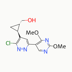 COc1ncc(-c2cc([C@H]3C[C@@H]3CO)c(Cl)nn2)c(OC)n1